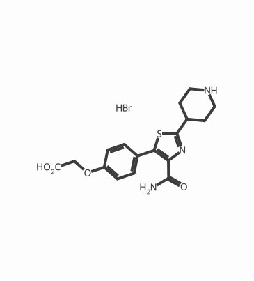 Br.NC(=O)c1nc(C2CCNCC2)sc1-c1ccc(OCC(=O)O)cc1